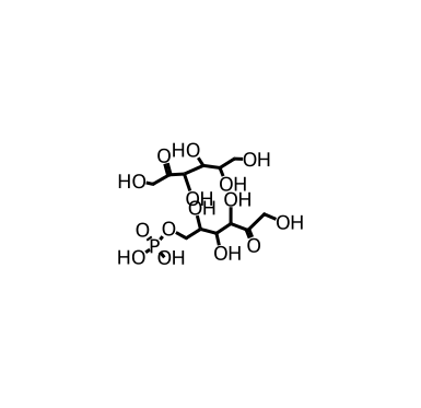 O=C(CO)C(O)C(O)C(O)CO.O=C(CO)C(O)C(O)C(O)COP(=O)(O)O